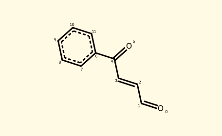 O=CC=CC(=O)c1ccccc1